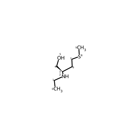 CCN[C@@H](CO)CCSC